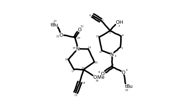 C#CC1(O)CCN(C(=O)OC(C)(C)C)CC1.C#CC1(OC)CCN(C(=O)OC(C)(C)C)CC1